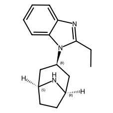 CCc1nc2ccccc2n1[C@H]1C[C@H]2CC[C@@H](C1)N2